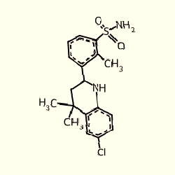 Cc1c(C2CC(C)(C)c3cc(Cl)ccc3N2)cccc1S(N)(=O)=O